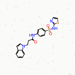 O=C(CCn1ccc2ccccc21)Nc1ccc(S(=O)(=O)Nc2nccs2)cc1